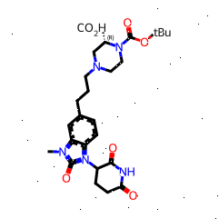 Cn1c(=O)n(C2CCC(=O)NC2=O)c2ccc(CCCN3CCN(C(=O)OC(C)(C)C)[C@@H](C(=O)O)C3)cc21